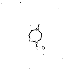 CN1CCON(C=O)CC1